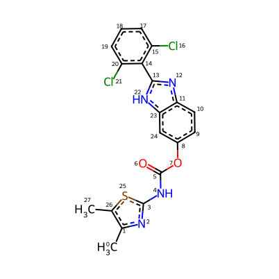 Cc1nc(NC(=O)Oc2ccc3nc(-c4c(Cl)cccc4Cl)[nH]c3c2)sc1C